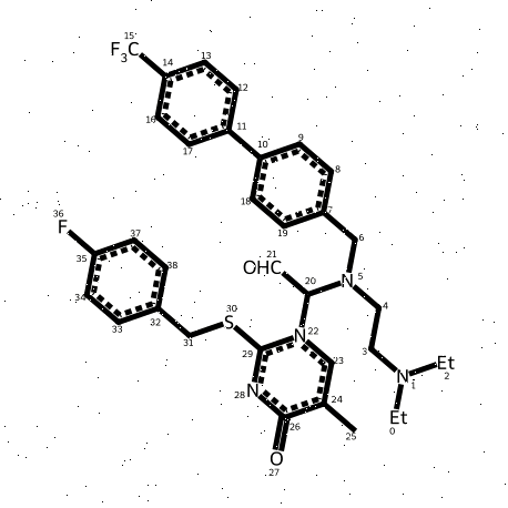 CCN(CC)CCN(Cc1ccc(-c2ccc(C(F)(F)F)cc2)cc1)C(C=O)n1cc(C)c(=O)nc1SCc1ccc(F)cc1